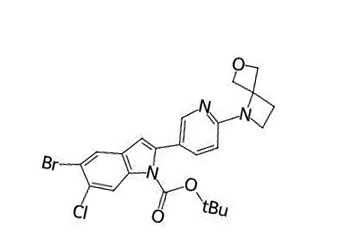 CC(C)(C)OC(=O)n1c(-c2ccc(N3CCC34COC4)nc2)cc2cc(Br)c(Cl)cc21